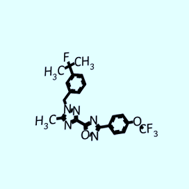 Cc1nc(-c2nc(-c3ccc(OC(F)(F)F)cc3)no2)nn1Cc1cccc(C(C)(C)F)c1